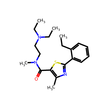 CCc1ccccc1-c1nc(C)c(C(=O)N(C)CCN(CC)CC)s1